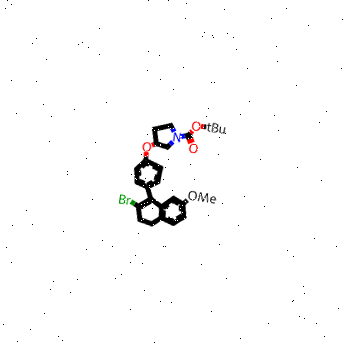 COc1ccc2c(c1)C(c1ccc(OC3CCN(C(=O)OC(C)(C)C)C3)cc1)=C(Br)CC2